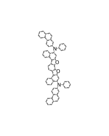 c1ccc(N(c2ccc3c(ccc4ccccc43)c2)c2cc3oc4c(ccc5c4oc4cc(N(c6ccccc6)c6ccc7c(ccc8ccccc87)c6)c6ccccc6c45)c3c3ccccc23)cc1